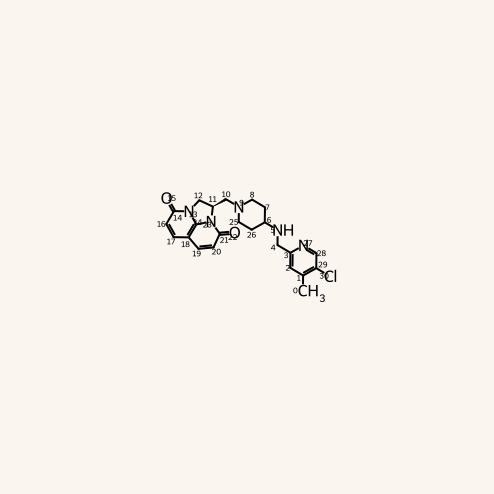 Cc1cc(CNC2CCN(C[C@@H]3Cn4c(=O)ccc5ccc(=O)n3c54)CC2)ncc1Cl